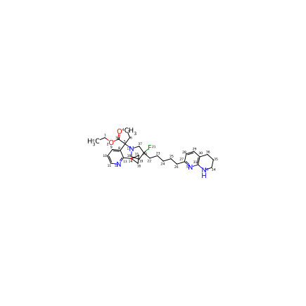 CCOC(=O)C(CC)(c1cccnc1C1CC1)N1CCC(F)(CCCCCc2ccc3c(n2)NCCC3)C1